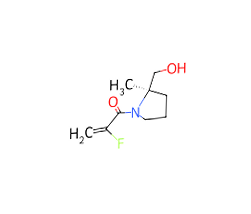 C=C(F)C(=O)N1CCC[C@]1(C)CO